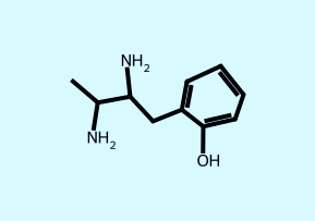 CC(N)C(N)Cc1ccccc1O